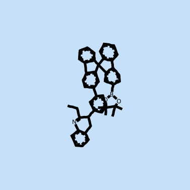 CCC1=Nc2ccccc2CC1c1cccc(-c2ccc3c(c2)C2(c4ccccc4-c4ccc(B5OC(C)(C)C(C)(C)O5)cc42)c2ccccc2-3)c1